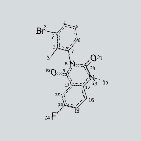 Cc1c(Br)cccc1-n1c(=O)c2cc(F)ccc2n(C)c1=O